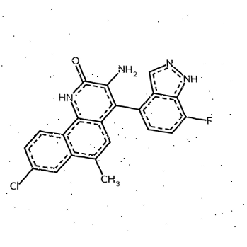 Cc1cc2c(-c3ccc(F)c4[nH]ncc34)c(N)c(=O)[nH]c2c2ccc(Cl)cc12